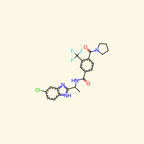 CC(NC(=O)c1ccc(C(=O)N2CCCC2)c(C(F)(F)F)c1)c1nc2cc(Cl)ccc2[nH]1